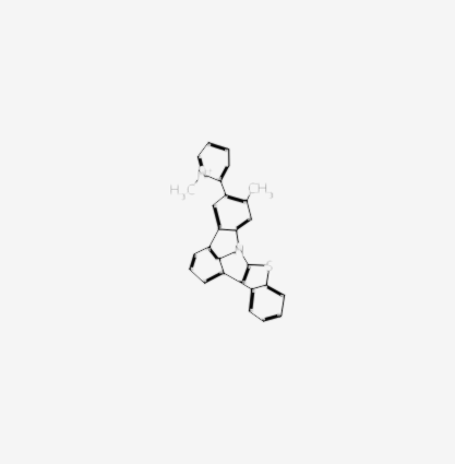 Cc1cc2c(cc1-c1cccc[n+]1C)c1cccc3c4c5ccccc5sc4n2c13